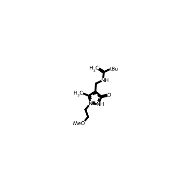 C=C(NCc1c(C)n(CCOC)[nH]c1=O)C(C)(C)C